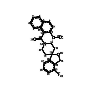 CCOc1ccc2ccccc2c1C(=O)N1CCC2(CC1)OCc1c(F)cccc12